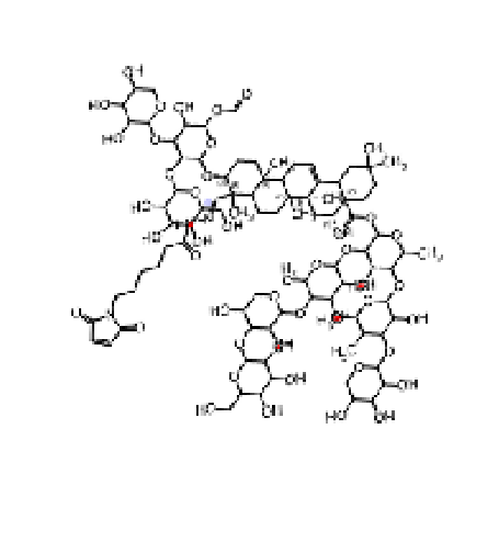 CC1OC(OC2C(C)OC(OC(=O)[C@]34CCC(C)(C)CC3C3=CCC5[C@@]6(C)CC[C@H](OC7OC(OC=O)C(O)C(OC8OCC(O)C(O)C8O)C7OC7OC(CO)C(O)C(O)C7O)[C@@](C)(/C=N/NC(=O)CCCCCN7C(=O)C=CC7=O)C6CC[C@@]5(C)[C@]3(C)C[C@H]4O)C(OC3OC(C)C(OC4OCC(O)C(OC5OC(CO)C(O)C(O)C5O)C4O)C(O)C3O)C2O)C(O)C(OC2OCC(O)C(O)C2O)C1C